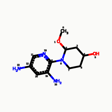 COC1CC(O)CCN1c1ncc(N)cc1N